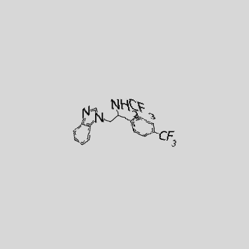 NC(Cn1cnc2ccccc21)c1ccc(C(F)(F)F)cc1C(F)(F)F